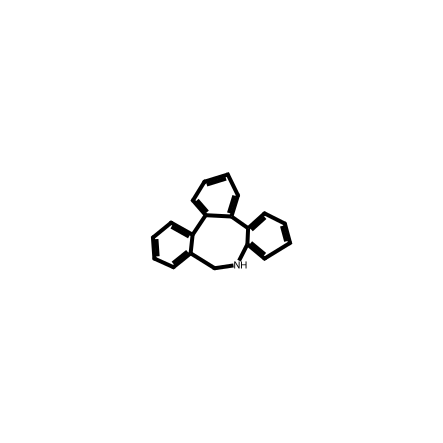 c1ccc2c(c1)CNc1ccccc1-c1ccccc1-2